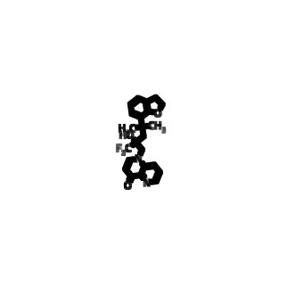 CC(C)(CC(O)(Cn1ccc(=O)c2ncccc21)C(F)(F)F)c1cccc2c1OCC2